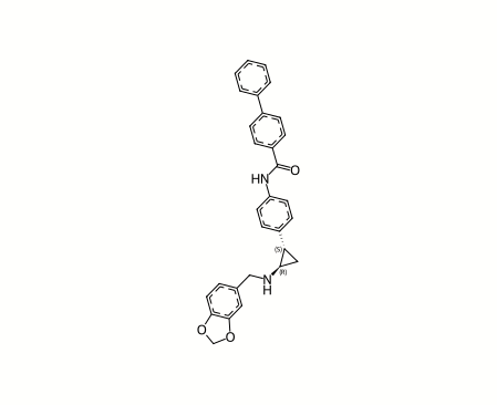 O=C(Nc1ccc([C@@H]2C[C@H]2NCc2ccc3c(c2)OCO3)cc1)c1ccc(-c2ccccc2)cc1